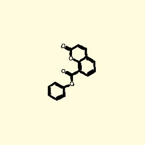 O=C(Oc1ccccc1)c1cccc2ccc(=O)oc12